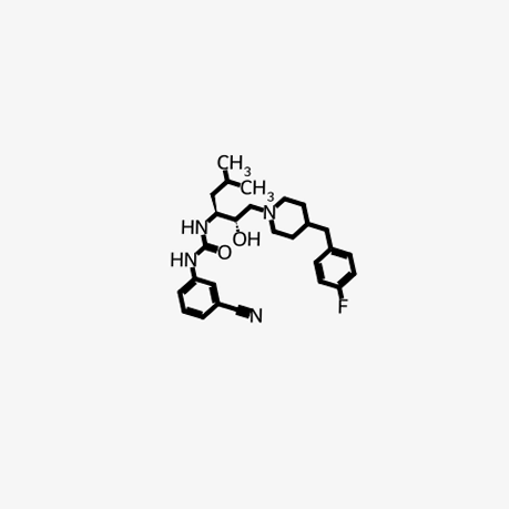 CC(C)C[C@H](NC(=O)Nc1cccc(C#N)c1)[C@@H](O)CN1CCC(Cc2ccc(F)cc2)CC1